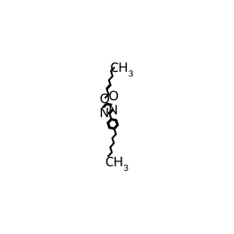 CCCCC=CC(=O)Oc1cnc(-c2ccc(CCCCCCC)cc2)nc1